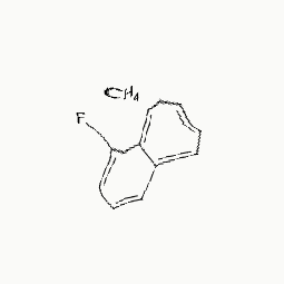 C.Fc1cccc2ccccc12